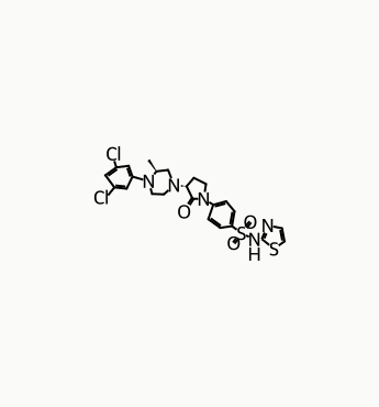 C[C@H]1CN([C@@H]2CCN(c3ccc(S(=O)(=O)Nc4nccs4)cc3)C2=O)CCN1c1cc(Cl)cc(Cl)c1